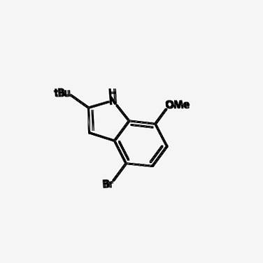 COc1ccc(Br)c2cc(C(C)(C)C)[nH]c12